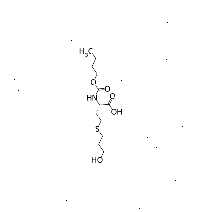 CCCCOC(=O)N[C@@H](CCSCCCO)C(=O)O